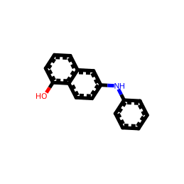 Oc1cccc2cc(Nc3ccccc3)ccc12